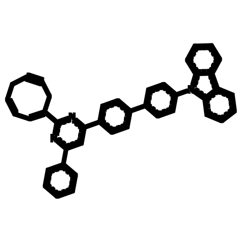 C1#CC/C(c2nc(-c3ccccc3)cc(-c3ccc(-c4ccc(-n5c6ccccc6c6ccccc65)cc4)cc3)n2)=C\C=C/C1